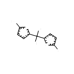 CCC(C)(c1ccc(C)o1)c1ccc(C)o1